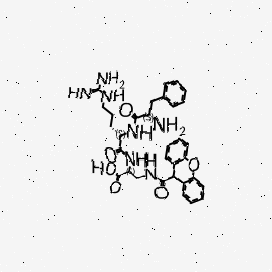 N=C(N)NCCC[C@H](NC(=O)[C@@H](N)Cc1ccccc1)C(=O)N[C@@H](CNC(=O)C1c2ccccc2Oc2ccccc21)C(=O)O